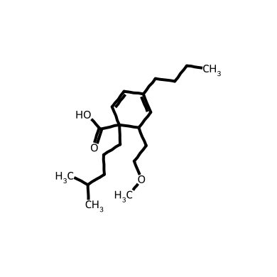 CCCCC1=CC(CCOC)C(CCCC(C)C)(C(=O)O)C=C1